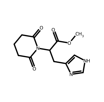 COC(=O)C(Cc1c[nH]cn1)N1C(=O)CCCC1=O